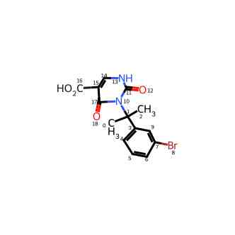 CC(C)(c1cccc(Br)c1)n1c(=O)[nH]cc(C(=O)O)c1=O